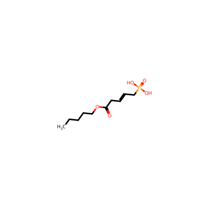 CCCCCOC(=O)CC=CCP(=O)(O)O